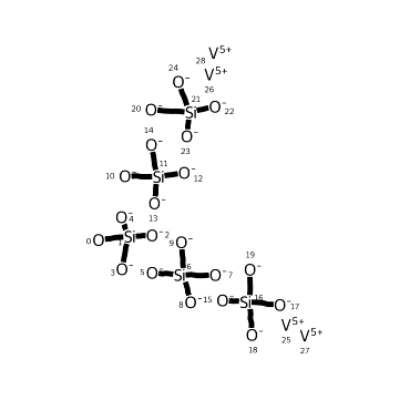 [O-][Si]([O-])([O-])[O-].[O-][Si]([O-])([O-])[O-].[O-][Si]([O-])([O-])[O-].[O-][Si]([O-])([O-])[O-].[O-][Si]([O-])([O-])[O-].[V+5].[V+5].[V+5].[V+5]